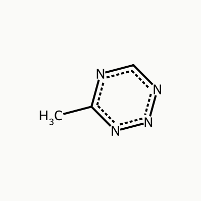 Cc1ncnnn1